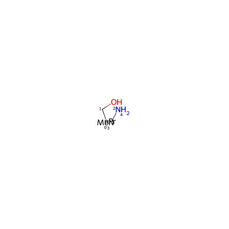 CCCCO.CNN